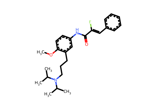 COc1ccc(NC(=O)C(F)=Cc2ccccc2)cc1CCCN(C(C)C)C(C)C